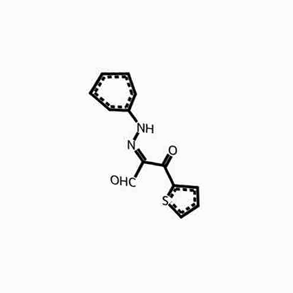 O=CC(=NNc1ccccc1)C(=O)c1cccs1